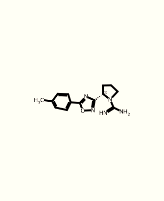 Cc1ccc(-c2nc([C@@H]3CCCN3C(=N)N)no2)cc1